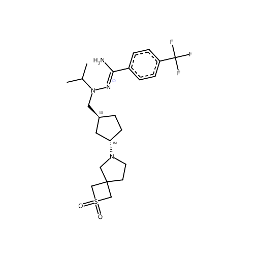 CC(C)N(C[C@H]1CC[C@H](N2CCC3(C2)CS(=O)(=O)C3)C1)/N=C(\N)c1ccc(C(F)(F)F)cc1